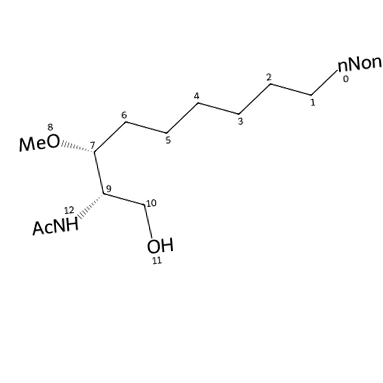 CCCCCCCCCCCCCCC[C@@H](OC)[C@H](CO)NC(C)=O